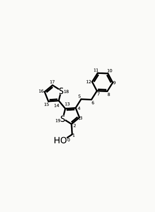 OCc1[c]c(CCc2ccccc2)c(-c2cccs2)s1